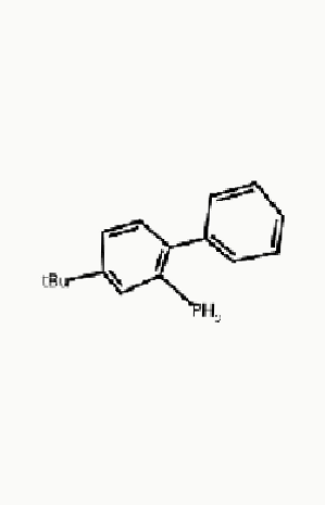 CC(C)(C)c1ccc(-c2ccccc2)c(P)c1